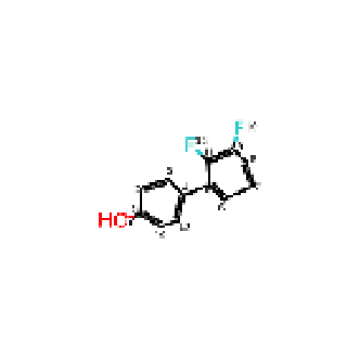 Oc1ccc(-c2cccc(F)c2F)cc1